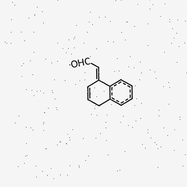 O=[C]C=C1C=CCc2ccccc21